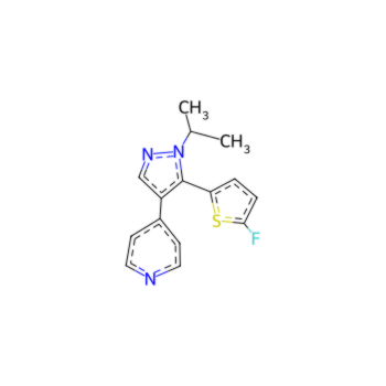 CC(C)n1ncc(-c2ccncc2)c1-c1ccc(F)s1